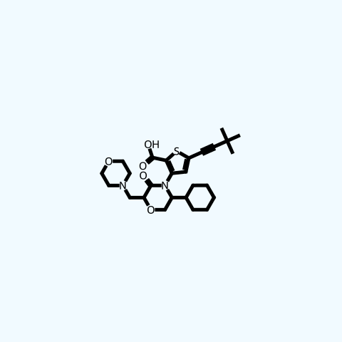 CC(C)(C)C#Cc1cc(N2C(=O)C(CN3CCOCC3)OCC2C2CCCCC2)c(C(=O)O)s1